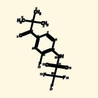 CC(C)(C)C(=O)c1ccc(NS(=O)(=O)C(F)(F)F)c(F)c1